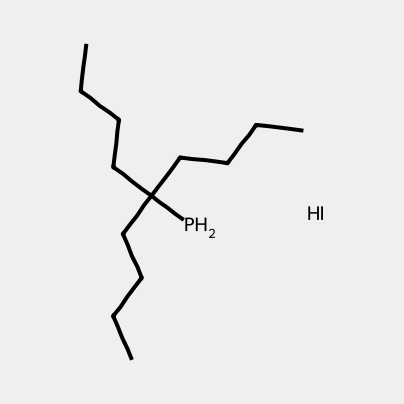 CCCCC(P)(CCCC)CCCC.I